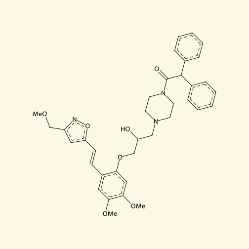 COCc1cc(/C=C/c2cc(OC)c(OC)cc2OCC(O)CN2CCN(C(=O)C(c3ccccc3)c3ccccc3)CC2)on1